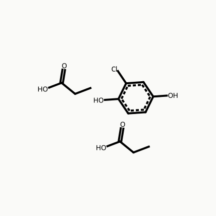 CCC(=O)O.CCC(=O)O.Oc1ccc(O)c(Cl)c1